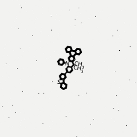 CC1(C)c2cc3c4ccccc4c4ccccc4c3cc2N(c2ccccc2)C2C=C(c3ccc4sc5ccccc5c4c3)C=CC21